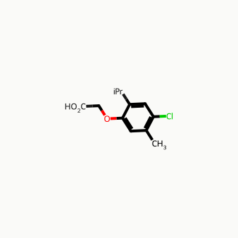 Cc1cc(OCC(=O)O)c(C(C)C)cc1Cl